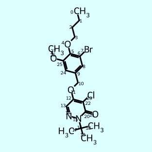 CCCCOc1c(Br)cc(COc2cnn(C(C)(C)C)c(=O)c2Cl)cc1OC